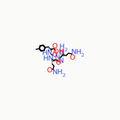 Cc1ccc(C[C@H](NC(=O)N[C@@H](CCC(N)=O)c2nc([C@@H](N)CCC(N)=O)no2)C(=O)O)cc1